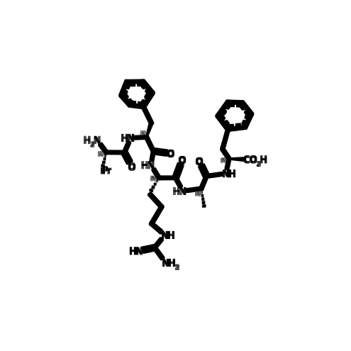 CC(C)[C@H](N)C(=O)N[C@@H](Cc1ccccc1)C(=O)N[C@@H](CCCNC(=N)N)C(=O)N[C@@H](C)C(=O)N[C@@H](Cc1ccccc1)C(=O)O